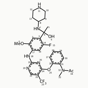 COc1cc(C(C)(O)NC2CCNCC2)c(F)cc1Nc1ncc(C(F)(F)F)c(Oc2ccccc2N(C)C(C)=O)n1